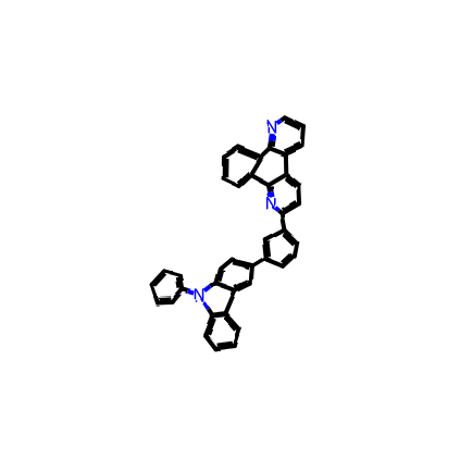 c1ccc(-n2c3ccccc3c3cc(-c4cccc(-c5ccc6c7cccnc7c7ccccc7c6n5)c4)ccc32)cc1